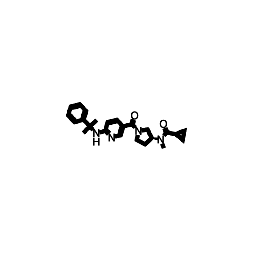 CN(C(=O)C1CC1)[C@H]1CCN(C(=O)c2ccc(NC(C)(C)c3ccccc3)nc2)C1